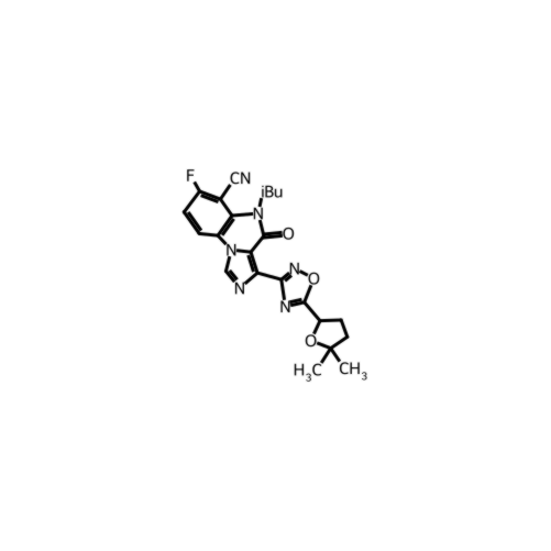 CCC(C)n1c(=O)c2c(-c3noc(C4CCC(C)(C)O4)n3)ncn2c2ccc(F)c(C#N)c21